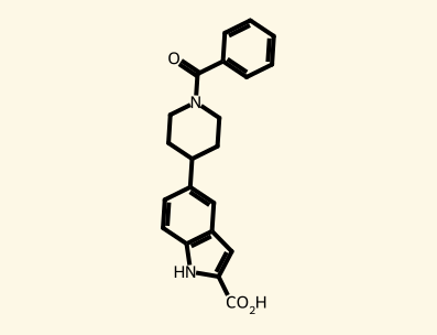 O=C(O)c1cc2cc(C3CCN(C(=O)c4ccccc4)CC3)ccc2[nH]1